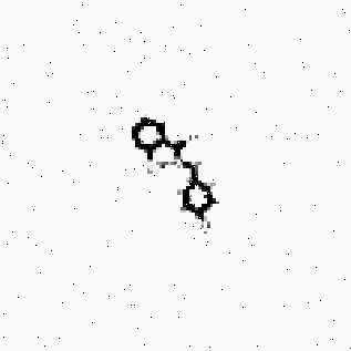 CC(=O)Oc1ccccc1C(=O)OCc1ccc(O)cc1